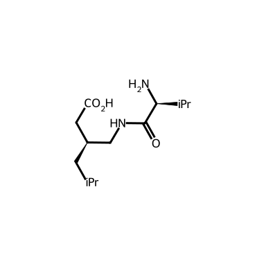 CC(C)C[C@H](CNC(=O)[C@@H](N)C(C)C)CC(=O)O